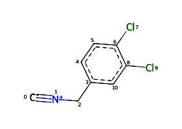 [C-]#[N+]Cc1ccc(Cl)c(Cl)c1